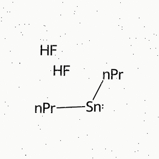 CC[CH2][Sn][CH2]CC.F.F